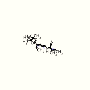 C=C/C(=C\C=C\NC(C#N)/C(C)=C/C)B1OC(C)(C)C(C)(C)O1